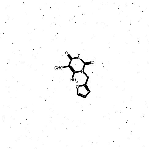 Nc1c(C=O)c(=O)[nH]c(=O)n1Cc1ccco1